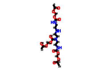 CC(=O)OCOC(=O)NCCNCCN(CCNC(=O)OCOC(C)=O)C(=O)OCOC(C)=O